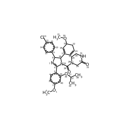 COc1ccc(C2=NC(c3ccc(Cl)cc3)C(C3=CC(OC)CC=C3)N2C(=O)N2CCNC(=O)C2)c(OC(C)C)c1